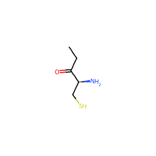 CCC(=O)[C@@H](N)CS